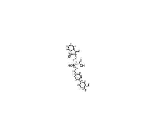 O=C(O)[C@@H](CCN1C(=O)c2ccccc2C1=O)[C@H](O)CCc1ccc(-c2ccc(F)c(F)c2)nc1